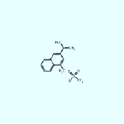 CN(C)c1cc2ccccc2[n+](C)c1.O=S(=O)([O-])C(F)(F)F